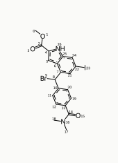 COC(=O)c1cc2c(C(Br)c3ccc(C(=O)N(C)C)cc3)cc(I)cc2[nH]1